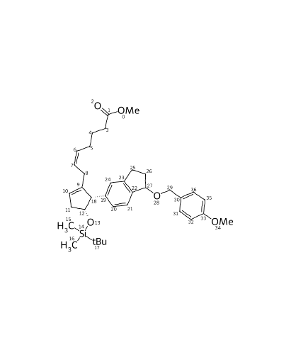 COC(=O)CCC/C=C\CC1=CC[C@@H](O[Si](C)(C)C(C)(C)C)[C@H]1c1ccc2c(c1)CCC2OCc1ccc(OC)cc1